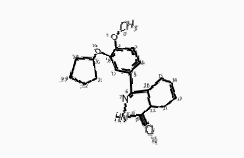 COc1ccc(C2=NNC(=O)C3CC=CCC23)cc1OC1CCCC1